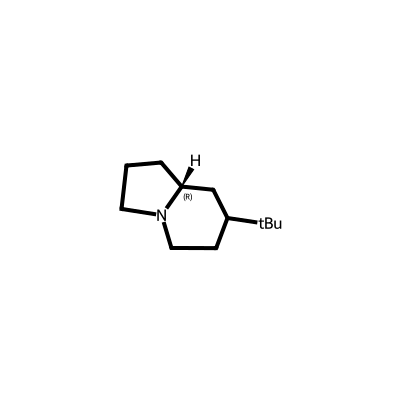 CC(C)(C)C1CCN2CCC[C@@H]2C1